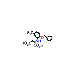 O=C(O)C=C(Nc1cc(C(F)(F)F)ccc1OCc1ccccc1)C(=O)O